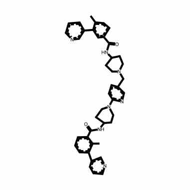 Cc1ccc(C(=O)NC2CCN(Cc3ccc(N4CCC(NC(=O)c5cccc(-c6cccnc6)c5C)CC4)nc3)CC2)cc1-c1cccnc1